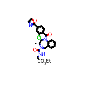 CCOC(=O)CNC(=O)N1Cc2ccccc2N(C(=O)c2ccc(-c3ncco3)cc2Cl)C[C@H]1C